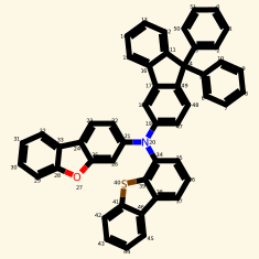 c1ccc(C2(c3ccccc3)c3ccccc3-c3cc(N(c4ccc5c(c4)oc4ccccc45)c4cccc5c4sc4ccccc45)ccc32)cc1